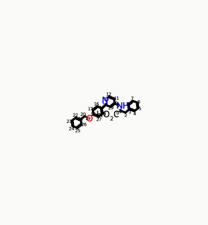 O=C(O)[C@H](Cc1ccccc1)Nc1ccnc(-c2ccc(OCc3ccccc3)cc2)c1